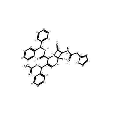 CC(=O)OC(C1=CS[C@H]2C(NC(=O)Cc3cccs3)C(=O)N2C1C(=O)OC(c1ccccc1)c1ccccc1)c1ccccc1